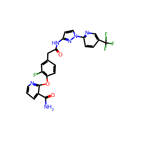 NC(=O)c1cccnc1Oc1ccc(CC(=O)Nc2ccn(-c3ccc(C(F)(F)F)cn3)n2)cc1F